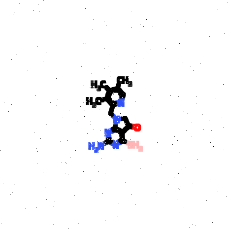 Bc1nc(N)nc2c1C(=O)CN2Cc1ncc(C)c(C)c1C